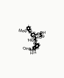 COc1cccc2sc([C@H]3CCN(C[C@H](O)COc4cccc5[nH]c(NC=O)cc45)[C@H](C)C3)cc12.O=C(O)C(=O)O